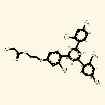 CC(=O)CC(=O)OCCOc1ccc(-c2nc(-c3ccc(C)cc3C)nc(-c3ccc(C)cc3C)n2)c(O)c1